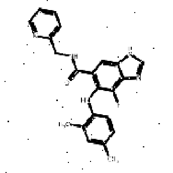 Cc1ccc(Nc2c(C(=O)NCc3ccccn3)cc3[nH]cnc3c2F)c(C)c1